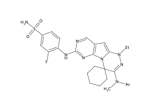 CCN1N=C(N(C)C(C)=O)C2(CCCCC2)n2c1cc1cnc(Nc3ccc(S(N)(=O)=O)cc3F)nc12